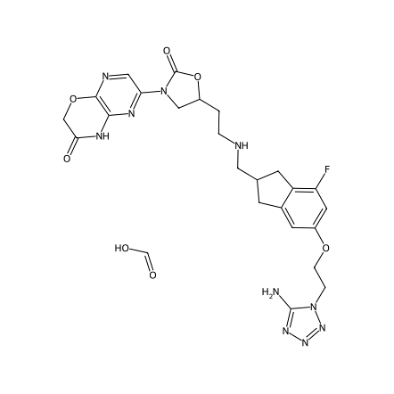 Nc1nnnn1CCOc1cc(F)c2c(c1)CC(CNCCC1CN(c3cnc4c(n3)NC(=O)CO4)C(=O)O1)C2.O=CO